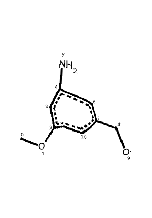 COc1cc(N)cc(C[O])c1